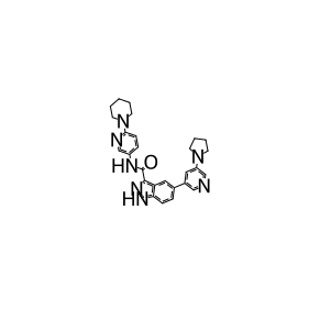 O=C(Nc1ccc(N2CCCCC2)nc1)c1n[nH]c2ccc(-c3cncc(N4CCCC4)c3)cc12